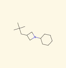 CC(C)(C)CC1CN(C2CCCCC2)C1